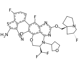 N#Cc1c(N)sc2c(F)ccc(-c3c(Cl)c4c5c(nc(OC[C@@]67CCCN6C[C@H](F)C7)nc5c3F)N(C3CCOC3)[C@@H](C(F)F)CO4)c12